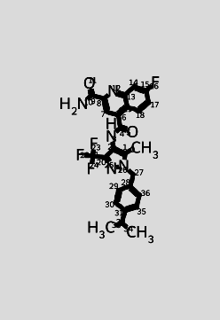 Cc1c(NC(=O)c2cc(C(N)=O)nc3cc(F)ccc23)c(C(F)(F)F)nn1Cc1ccc(C(C)C)cc1